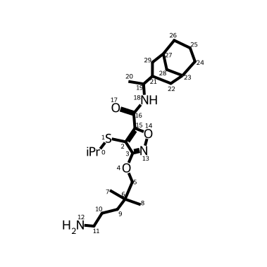 CC(C)Sc1c(OCC(C)(C)CCCN)noc1C(=O)NC(C)C1CC2CCCC(C2)C1